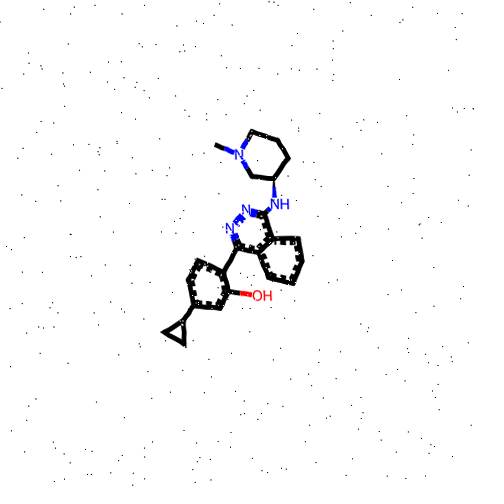 CN1CCC[C@@H](Nc2nnc(-c3ccc(C4CC4)cc3O)c3ccccc23)C1